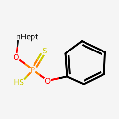 CCCCCCCOP(=S)(S)Oc1ccccc1